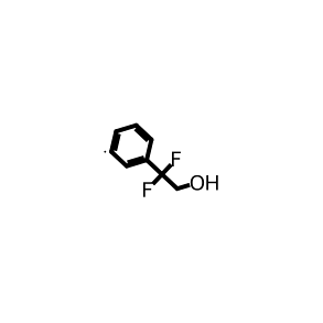 OCC(F)(F)c1c[c]ccc1